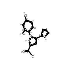 O=C(Cl)c1cc(-c2ccc[se]2)n(-c2ccc(Cl)cc2Cl)n1